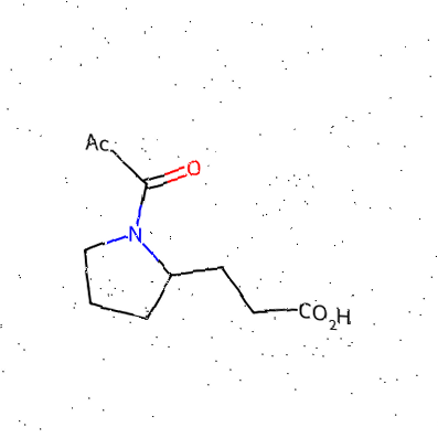 CC(=O)C(=O)N1CCCC1CCC(=O)O